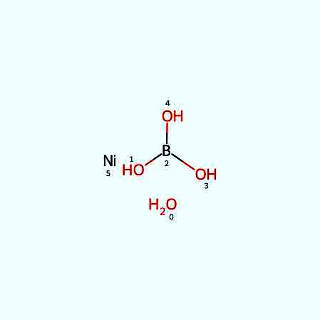 O.OB(O)O.[Ni]